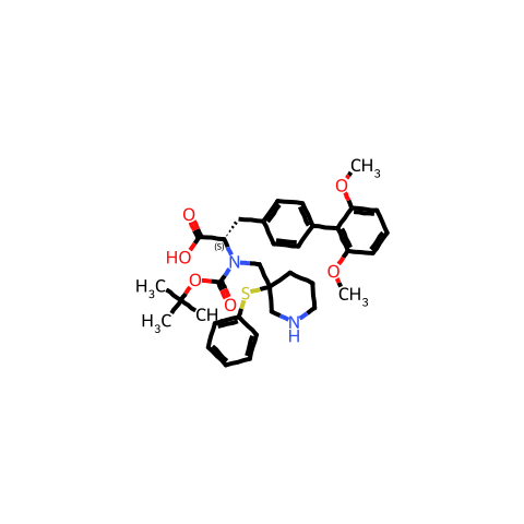 COc1cccc(OC)c1-c1ccc(C[C@@H](C(=O)O)N(CC2(Sc3ccccc3)CCCNC2)C(=O)OC(C)(C)C)cc1